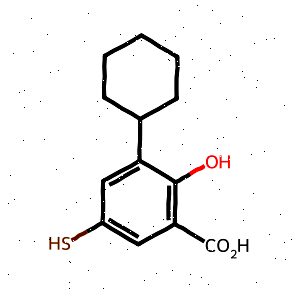 O=C(O)c1cc(S)cc(C2CCCCC2)c1O